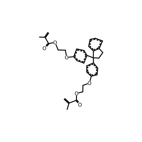 C=C(C)C(=O)OCCOc1ccc(C2(c3ccc(OCCOC(=O)C(=C)C)cc3)CCc3ccccc32)cc1